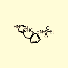 CCS(=O)(=O)Nc1cccc(Cc2c[nH]cn2)c1C=O